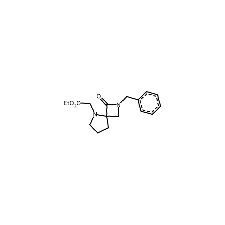 CCOC(=O)CN1CCCC12CN(Cc1ccccc1)C2=O